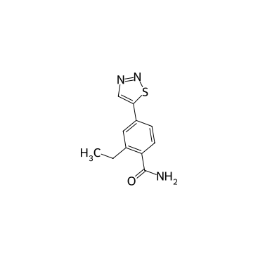 CCc1cc(-c2cnns2)ccc1C(N)=O